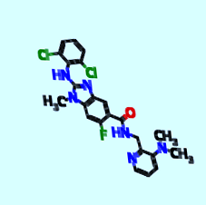 CN(C)c1cccnc1CNC(=O)c1cc2nc(Nc3c(Cl)cccc3Cl)n(C)c2cc1F